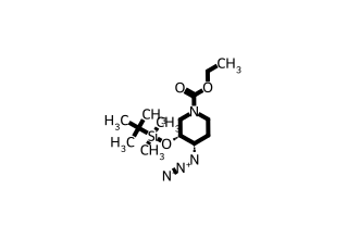 CCOC(=O)N1CC[C@H](N=[N+]=[N-])[C@H](O[Si](C)(C)C(C)(C)C)C1